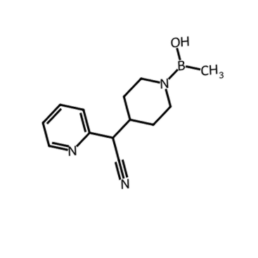 CB(O)N1CCC(C(C#N)c2ccccn2)CC1